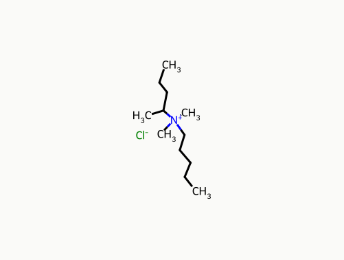 CCCCC[N+](C)(C)C(C)CCC.[Cl-]